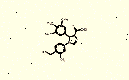 COc1cc(C2C(C(=O)C=O)N=CN2c2ccc(CN)c(N)c2)cc(OC)c1OC